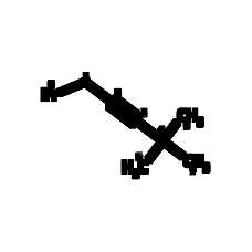 CC(C)CC#CC(C)(C)C